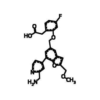 COCc1cc2cc(COc3cc(F)ccc3CC(=O)O)cc(-c3ccnc(CN)c3)c2o1